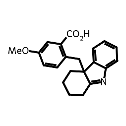 COc1ccc(CC23CCCCC2=Nc2ccccc23)c(C(=O)O)c1